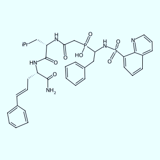 CC(C)C[C@H](NC(=O)CP(=O)(O)C(Cc1ccccc1)NS(=O)(=O)c1cccc2cccnc12)C(=O)N[C@@H](CC=Cc1ccccc1)C(N)=O